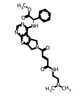 COC(=O)[C@@H](Nc1ncnc2sc3c(c12)CN(C(=O)/C=C/C(=O)NCCN(C)C)C3)c1ccccc1